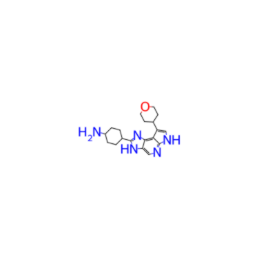 NC1CCC(c2nc3c(cnc4[nH]cc(C5CCOCC5)c43)[nH]2)CC1